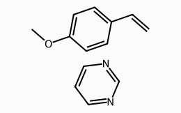 C=Cc1ccc(OC)cc1.c1cncnc1